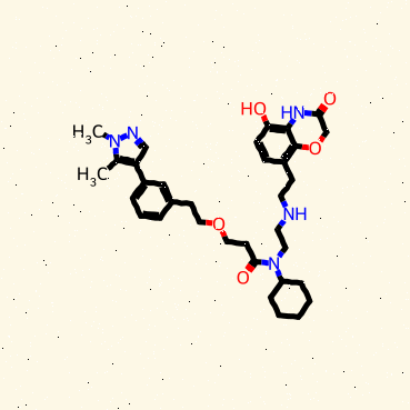 Cc1c(-c2cccc(CCOCCC(=O)N(CCNCCc3ccc(O)c4c3OCC(=O)N4)C3CCCCC3)c2)cnn1C